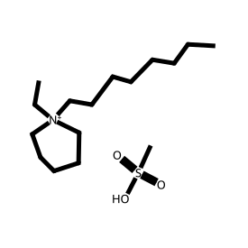 CCCCCCCC[N+]1(CC)CCCCC1.CS(=O)(=O)O